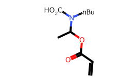 C=CC(=O)OC(C)N(CCCC)C(=O)O